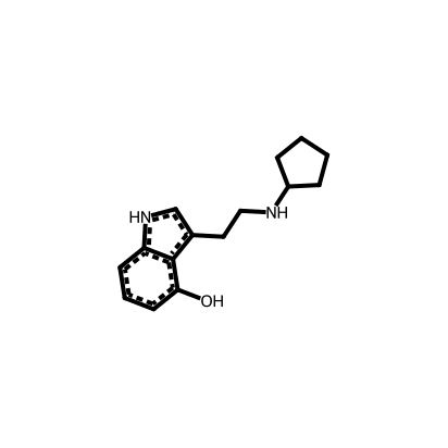 Oc1cccc2[nH]cc(CCNC3CCCC3)c12